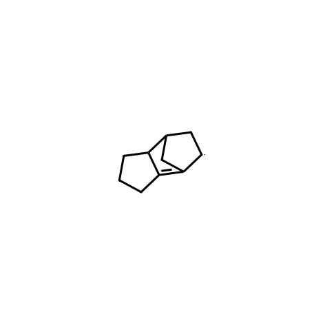 [CH]1CC2CC1=C1CCCC12